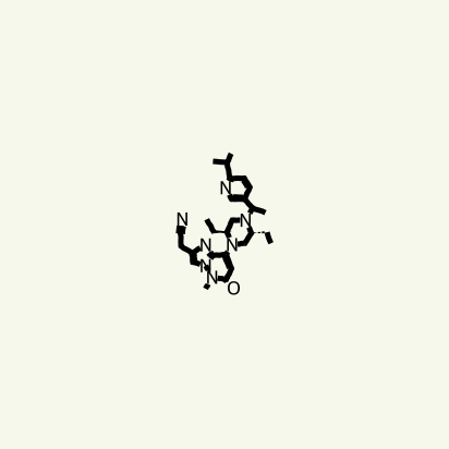 CC[C@H]1CN(C(C)c2ccc(C(C)C)nc2)[C@H](CC)CN1c1cc(=O)n(C)n2cc(CC#N)nc12